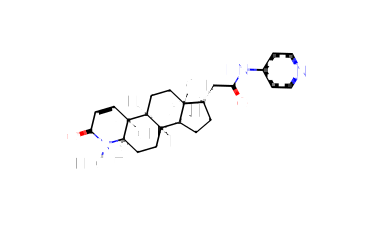 CN1C(=O)C=C[C@]2(C)[C@H]3CC[C@]4(C)[C@@H](CC(=O)Nc5ccncc5)CC[C@H]4[C@@H]3CC[C@@H]12